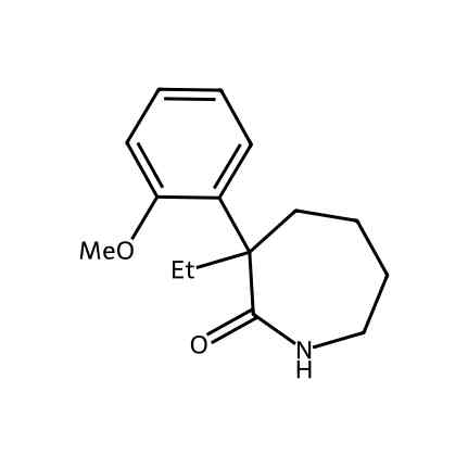 CCC1(c2ccccc2OC)CCCCNC1=O